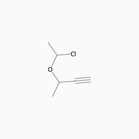 C#CC(C)OC(C)Cl